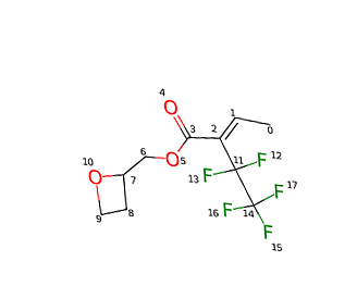 CC=C(C(=O)OCC1CCO1)C(F)(F)C(F)(F)F